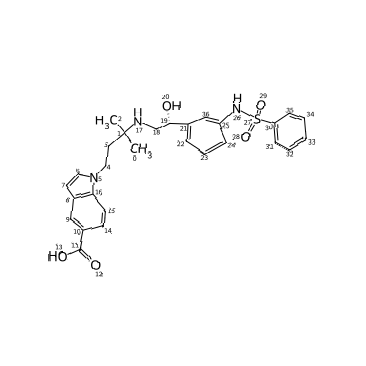 CC(C)(CCn1ccc2cc(C(=O)O)ccc21)NC[C@H](O)c1cccc(NS(=O)(=O)c2ccccc2)c1